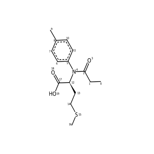 CCC(=O)N(c1ccc(C)cc1)[C@@H](CCSC)C(=O)O